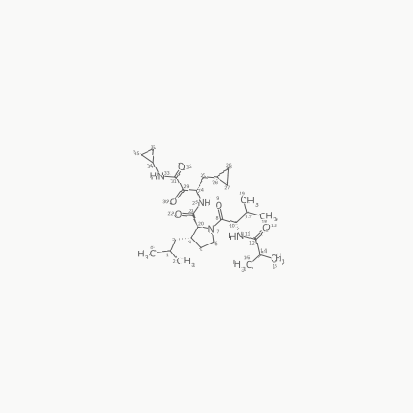 CC(C)C[C@H]1CCN(C(=O)[C@@H](NC(=O)C(C)C)C(C)C)[C@@H]1C(=O)NC(CC1CC1)C(=O)C(=O)NC1CC1